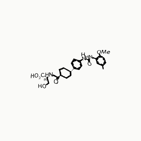 COc1ccc(C)cc1NC(=O)Nc1ccc([C@H]2CC[C@H](C(=O)N[C@H](CO)C(=O)O)CC2)cc1